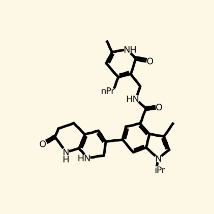 CCCc1cc(C)[nH]c(=O)c1CNC(=O)c1cc(C2=CC3=C(NC2)NC(=O)CC3)cc2c1c(C)cn2C(C)C